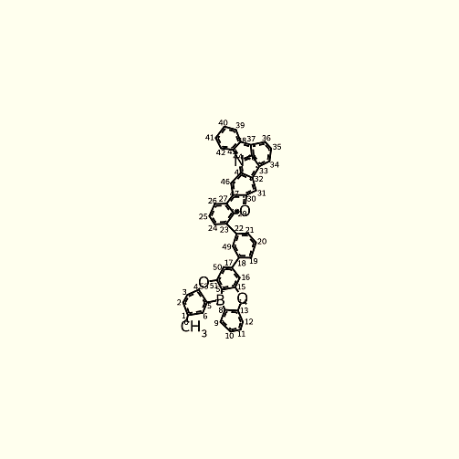 Cc1ccc2c(c1)B1c3ccccc3Oc3cc(-c4cccc(-c5cccc6c5oc5cc7c8cccc9c%10ccccc%10n(c7cc56)c98)c4)cc(c31)O2